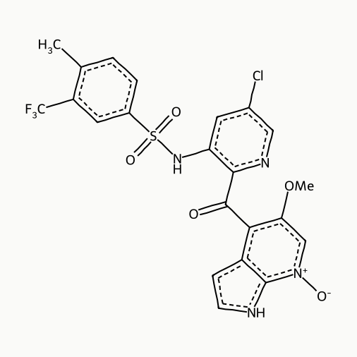 COc1c[n+]([O-])c2[nH]ccc2c1C(=O)c1ncc(Cl)cc1NS(=O)(=O)c1ccc(C)c(C(F)(F)F)c1